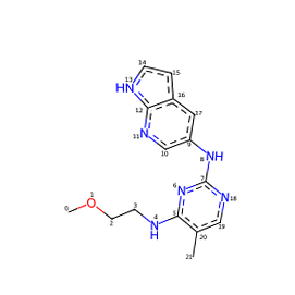 COCCNc1nc(Nc2cnc3[nH]ccc3c2)ncc1C